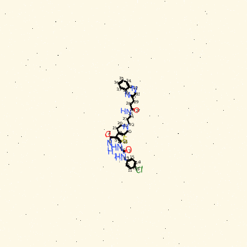 NC(=O)c1c(NC(=O)Nc2ccc(Cl)cc2)sc2c1CCN(CCCNC(=O)CCc1cnc3ccccc3n1)C2